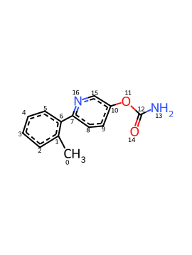 Cc1ccccc1-c1ccc(OC(N)=O)cn1